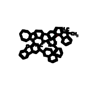 CN(c1nc(-c2ccccc2)nc(-c2cccc3c2-c2ccccc2C3(C)C)n1)c1c(-c2ccccc2)ccc2c3c(n(-c4cc(-c5ccc6ccccc6c5)cc5c4oc4ccccc45)c12)C=CCC=C3